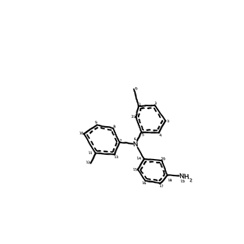 Cc1cccc(N(c2cccc(C)c2)c2cccc(N)c2)c1